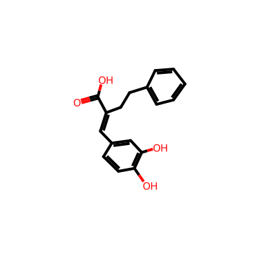 O=C(O)/C(=C/c1ccc(O)c(O)c1)CCc1ccccc1